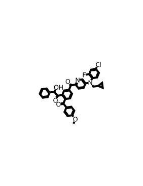 COc1ccc(C(=O)c2ccc(C(=O)c3ccc(N(CC4CC4)c4ccc(Cl)cc4F)cn3)cc2C(=O)C(O)c2ccccc2)cc1